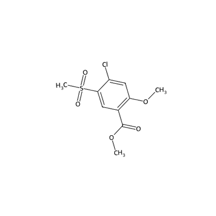 COC(=O)c1cc(S(C)(=O)=O)c(Cl)cc1OC